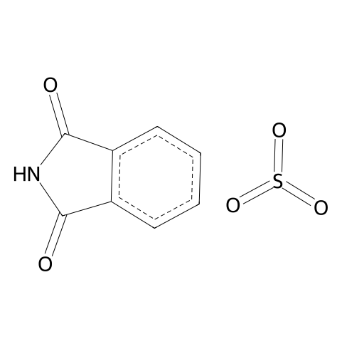 O=C1NC(=O)c2ccccc21.O=S(=O)=O